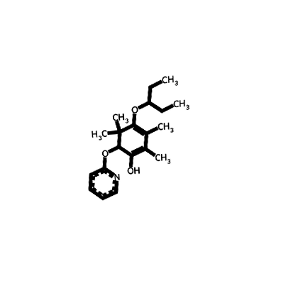 CCC(CC)OC1=C(C)C(C)=C(O)C(Oc2ccccn2)C1(C)C